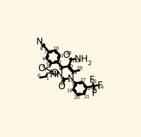 CCS(=O)(=O)c1cc(C#N)ccc1C1NC(=O)N(c2cccc(C(F)(F)F)c2)C(C)=C1C(N)=O